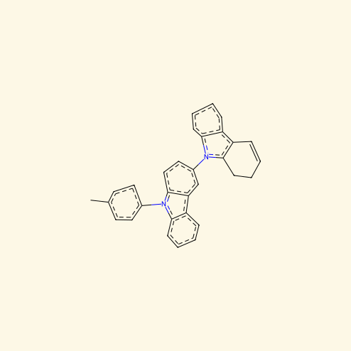 Cc1ccc(-n2c3ccccc3c3cc(-n4c5c(c6ccccc64)C=CCC5)ccc32)cc1